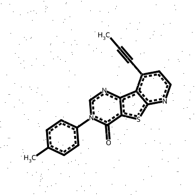 CC#Cc1ccnc2sc3c(=O)n(-c4ccc(C)cc4)cnc3c12